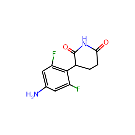 Nc1cc(F)c(C2CCC(=O)NC2=O)c(F)c1